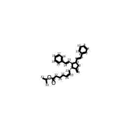 C=C1CC(/C=C/c2ccccc2)[C@H](/C=C/c2ccccc2)[C@H]1C/C=C\CCCC(=O)OC(C)C